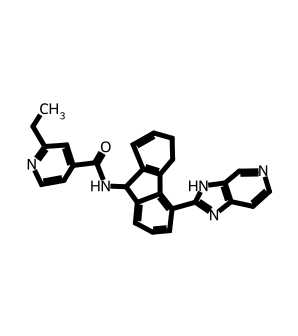 CCc1cc(C(=O)NC2C3=C(CCC=C3)c3c(-c4nc5ccncc5[nH]4)cccc32)ccn1